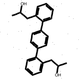 CC(O)Cc1ccccc1-c1ccc(-c2ccccc2CC(C)O)cc1